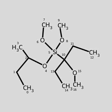 CCC(C)O[Si](OC)(OC)C(CC)(CC)OC